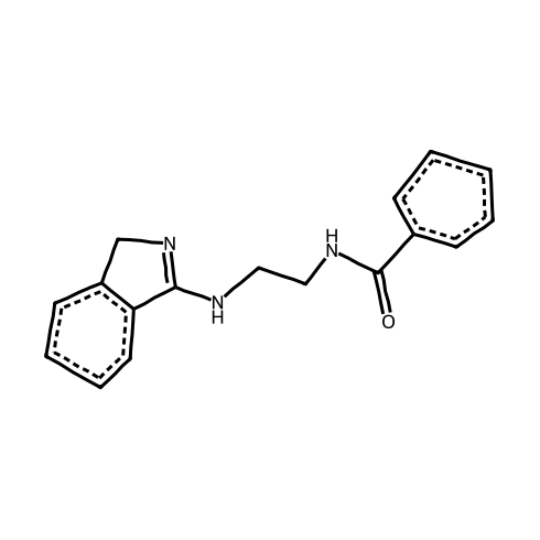 O=C(NCCNC1=NCc2ccccc21)c1ccccc1